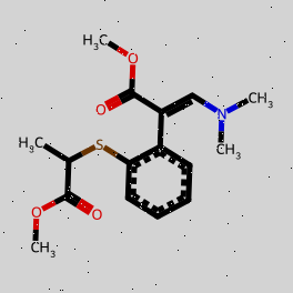 COC(=O)/C(=C/N(C)C)c1ccccc1SC(C)C(=O)OC